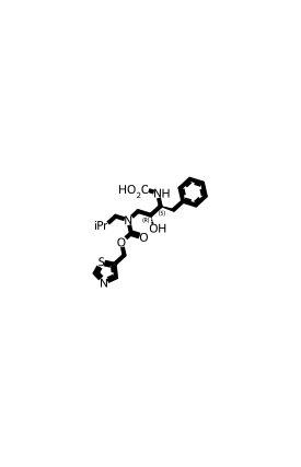 CC(C)CN(C[C@@H](O)[C@H](Cc1ccccc1)NC(=O)O)C(=O)OCc1cncs1